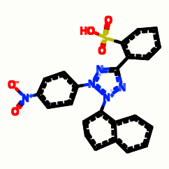 O=[N+]([O-])c1ccc(-n2nc(-c3ccccc3S(=O)(=O)O)n[n+]2-c2cccc3ccccc23)cc1